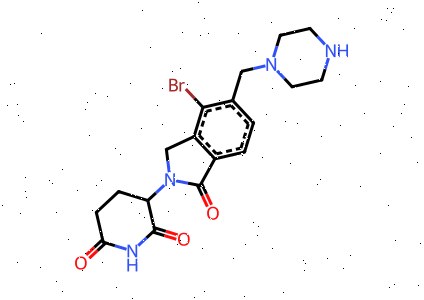 O=C1CCC(N2Cc3c(ccc(CN4CCNCC4)c3Br)C2=O)C(=O)N1